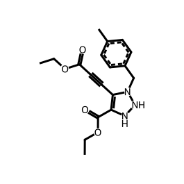 CCOC(=O)C#CC1=C(C(=O)OCC)NNN1Cc1ccc(C)cc1